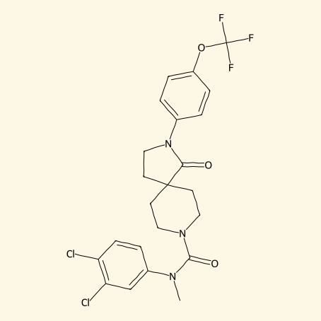 CN(C(=O)N1CCC2(CC1)CCN(c1ccc(OC(F)(F)F)cc1)C2=O)c1ccc(Cl)c(Cl)c1